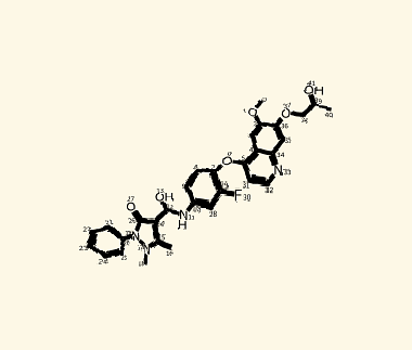 COc1cc2c(Oc3ccc(NC(O)c4c(C)n(C)n(-c5ccccc5)c4=O)cc3F)ccnc2cc1OC[C@H](C)O